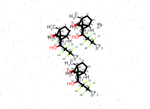 CC1(C)[C@@H]2CC[C@@]1(C)C(=O)/C2=C(\O)C(F)(F)C(F)(F)C(F)(F)F.CC1(C)[C@@H]2CC[C@@]1(C)C(=O)/C2=C(\O)C(F)(F)C(F)(F)C(F)(F)F.CC1(C)[C@@H]2CC[C@@]1(C)C(=O)/C2=C(\O)C(F)(F)C(F)(F)C(F)(F)F.[Yb]